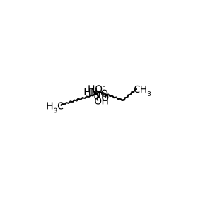 CCCCCCCCC=CCCCCCCCC1=[N+](CCO)C(CCOC(=O)CCCCCCC/C=C\CCCCCCCC)CN1.[OH-]